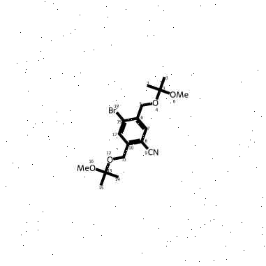 COC(C)(C)OCc1cc(C#N)c(COC(C)(C)OC)cc1Br